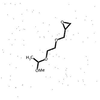 COC(C)OCCOCC1CO1